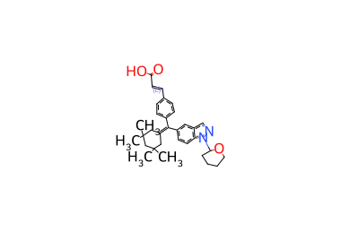 CC1(C)CC(=C(c2ccc(/C=C/C(=O)O)cc2)c2ccc3c(cnn3C3CCCCO3)c2)CC(C)(C)C1